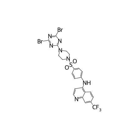 O=S(=O)(c1ccc(Nc2ccnc3cc(C(F)(F)F)ccc23)cc1)N1CCN(c2nc(Br)nc(Br)n2)CC1